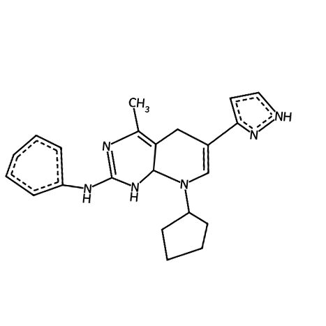 CC1=C2CC(c3cc[nH]n3)=CN(C3CCCC3)C2NC(Nc2ccccc2)=N1